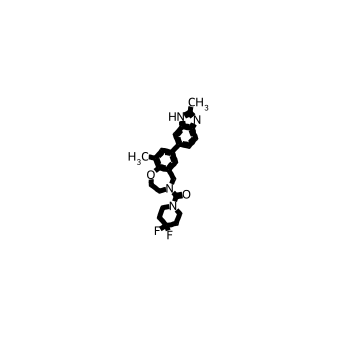 Cc1nc2ccc(-c3cc(C)c4c(c3)CN(C(=O)N3CCC(F)(F)CC3)CCO4)cc2[nH]1